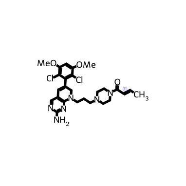 C/C=C/C(=O)N1CCN(CCCN2CC(c3c(Cl)c(OC)cc(OC)c3Cl)=Cc3cnc(N)nc32)CC1